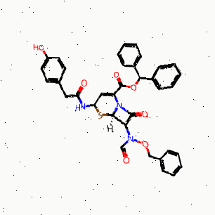 O=CN(OCc1ccccc1)C1C(=O)N2C(C(=O)OC(c3ccccc3)c3ccccc3)=CC(NC(=O)Cc3ccc(O)cc3)S[C@H]12